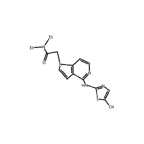 CCN(CC)C(=O)Cn1ccc2c(Nc3ncc(C#N)s3)nccc21